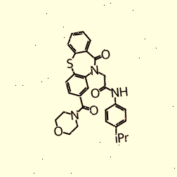 CC(C)c1ccc(NC(=O)CN2C(=O)c3ccccc3Sc3ccc(C(=O)N4CCOCC4)cc32)cc1